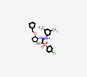 N#CC(=C(Nc1cc(C(F)(F)F)cc(C(F)(F)F)c1)N[C@@H]1CCC[C@H]1OCc1ccccc1)S(=O)(=O)c1ccc(Cl)cc1